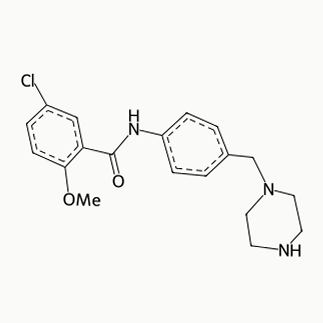 COc1ccc(Cl)cc1C(=O)Nc1ccc(CN2CCNCC2)cc1